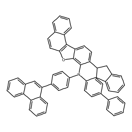 c1ccc(-c2ccc(N(c3ccc(-c4cc5ccccc5c5ccccc45)cc3)c3c(C4Cc5ccccc5C4)ccc4c3oc3ccc5ccccc5c34)cc2)cc1